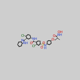 CC(COc1ccc(NS(=O)(=O)c2ccc(C(=O)Nc3ccc(Cl)c(-c4nc5ccccc5[nH]4)c3)c(Cl)c2)cc1)C(=O)NO